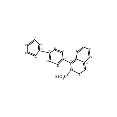 CCOC(=O)N1CC=c2ccccc2=C1c1ccc(-c2ccccc2)cc1